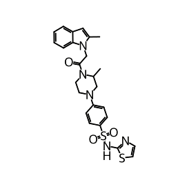 Cc1cc2ccccc2n1CC(=O)N1CCN(c2ccc(S(=O)(=O)Nc3nccs3)cc2)CC1C